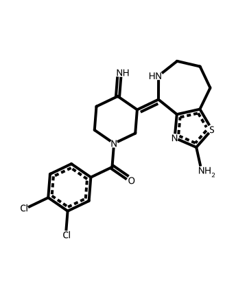 N=C1CCN(C(=O)c2ccc(Cl)c(Cl)c2)C/C1=C1/NCCCc2sc(N)nc21